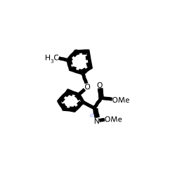 CO/N=C(\C(=O)OC)c1ccccc1Oc1cccc(C)c1